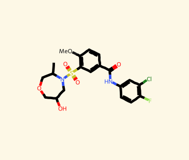 COc1ccc(C(=O)Nc2ccc(F)c(Cl)c2)cc1S(=O)(=O)N1CC(O)COCC1C